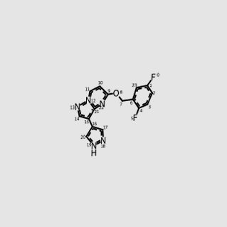 Fc1ccc(F)c(COc2ccn3ncc(-c4cn[nH]c4)c3n2)c1